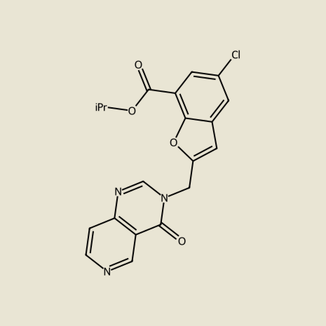 CC(C)OC(=O)c1cc(Cl)cc2cc(Cn3cnc4ccncc4c3=O)oc12